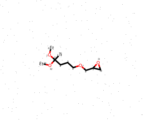 CCO[C]([Ti])(CCCOCC1CO1)OCC